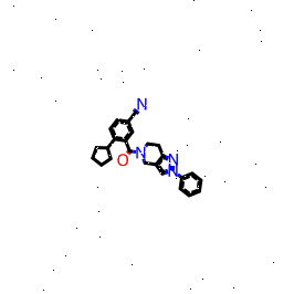 N#Cc1ccc(C2CCCC2)c(C(=O)N2CCc3nn(-c4ccccc4)cc3C2)c1